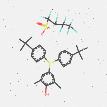 Cc1cc([S+](c2ccc(C(C)(C)C)cc2)c2ccc(C(C)(C)C)cc2)cc(C)c1O.O=S(=O)([O-])C(F)(F)C(F)(F)C(F)(F)C(F)(F)F